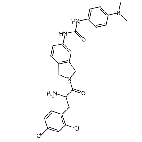 CN(C)c1ccc(NC(=O)Nc2ccc3c(c2)CN(C(=O)C(N)Cc2ccc(Cl)cc2Cl)C3)cc1